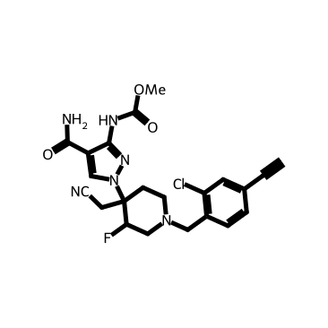 C#Cc1ccc(CN2CCC(CC#N)(n3cc(C(N)=O)c(NC(=O)OC)n3)C(F)C2)c(Cl)c1